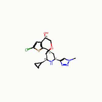 Cn1cc([C@@H]2C[C@]3(C[C@H](C4CC4)N2)OC[C@H](O)c2cc(Cl)sc23)nn1